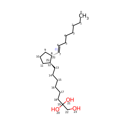 CCCCCC/C=C/[C@H]1CCC[C@@H]1CCCCCCC(O)(O)CO